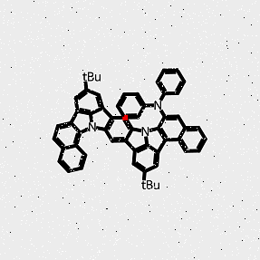 CC(C)(C)c1cc2c3cc4c(cc3n3c5c(N(c6ccccc6)c6ccccc6)cc6ccccc6c5c(c1)c23)c1cc(C(C)(C)C)cc2c3ccc5ccccc5c3n4c12